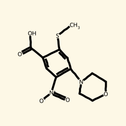 CSc1cc(N2CCOCC2)c([N+](=O)[O-])cc1C(=O)O